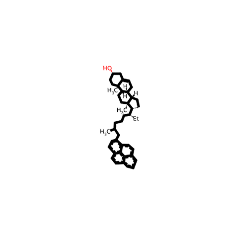 CC[C@H](CCCC(C)Cc1ccc2ccc3cccc4ccc1c2c34)[C@H]1CC[C@H]2[C@@H]3CC=C4C[C@@H](O)CC[C@]4(C)[C@H]3CC[C@]12C